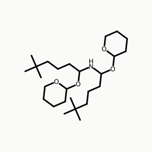 CC(C)(C)CCCC(NC(CCCC(C)(C)C)OC1CCCCO1)OC1CCCCO1